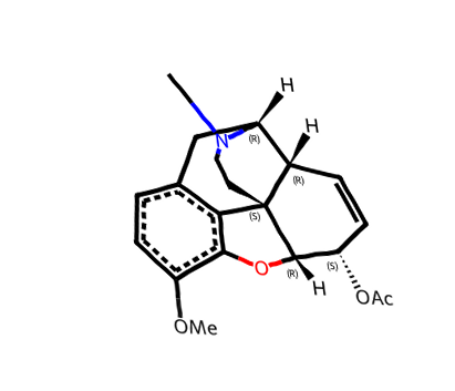 COc1ccc2c3c1O[C@H]1[C@@H](OC(C)=O)C=C[C@H]4[C@@H](C2)N(C)CC[C@@]341